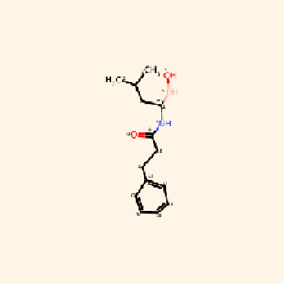 CC(C)C[C@@H](BO)NC(=O)CCc1ccccc1